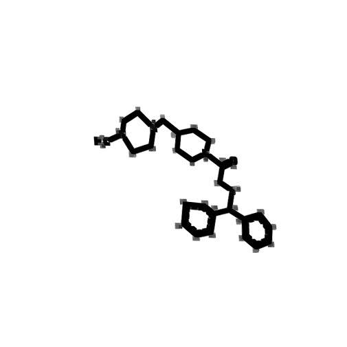 CN1CCN(CC2CCN(C(=O)CSC(c3ccccc3)c3ccccc3)CC2)CC1